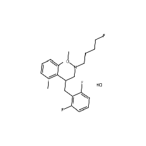 CON(CCCCF)CC(Cc1c(F)cccc1F)c1c(C)cccc1C.Cl